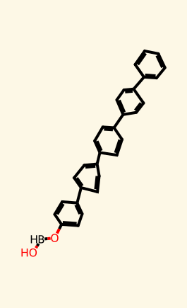 OBOc1ccc(-c2ccc(-c3ccc(-c4ccc(-c5ccccc5)cc4)cc3)cc2)cc1